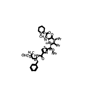 CCCO[C@H](CC(C(C)C)N(CCC)C(=O)[C@@H](NC(=O)[C@H]1CCCCN1C)[C@@H](C)CC)c1nc(C(=O)N[C@@H](Cc2ccccc2)C[C@H](C)C=O)cs1